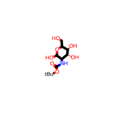 CC(C)(C)OC(=O)NC1C(O)OC(CO)[C@@H](O)[C@@H]1O